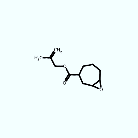 C=C(C)COC(=O)C1CCCC2OC2C1